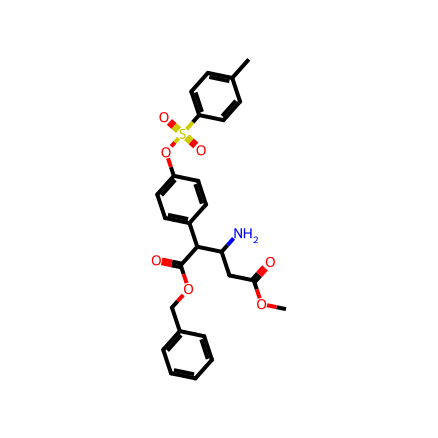 COC(=O)CC(N)C(C(=O)OCc1ccccc1)c1ccc(OS(=O)(=O)c2ccc(C)cc2)cc1